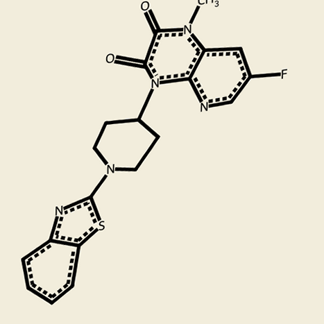 Cn1c(=O)c(=O)n(C2CCN(c3nc4ccccc4s3)CC2)c2ncc(F)cc21